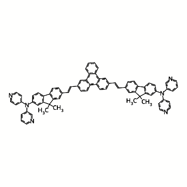 CC1(C)c2cc(/C=C/c3ccc4c5ccc(/C=C/c6ccc7c(c6)C(C)(C)c6cc(N(c8ccncc8)c8cccnc8)ccc6-7)cc5c5ccccc5c4c3)ccc2-c2ccc(N(c3ccncc3)c3cccnc3)cc21